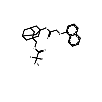 CC(F)(F)C(=O)OCC12CC3CC(C1)CC(OC(=O)COc1cccc4ccccc14)(C3)C2